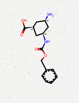 N[C@H]1C[C@@H](NC(=O)OCc2ccccc2)C[C@@H](C(=O)O)C1